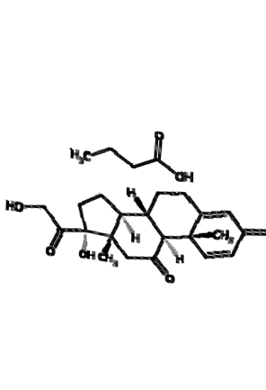 CCCC(=O)O.C[C@]12C=CC(=O)C=C1CC[C@@H]1[C@@H]2C(=O)C[C@@]2(C)[C@H]1CC[C@]2(O)C(=O)CO